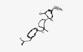 CSc1cnc(C2CCCC(C)(Sc3cccc(CC(C)F)c3)C2)c(Cl)c1